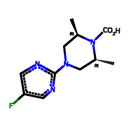 C[C@@H]1CN(c2ncc(F)cn2)C[C@@H](C)N1C(=O)O